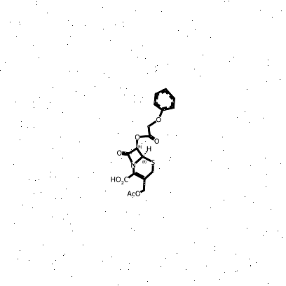 CC(=O)OCC1=C(C(=O)O)N2C(=O)[C@@H](OC(=O)COc3ccccc3)[C@H]2SC1